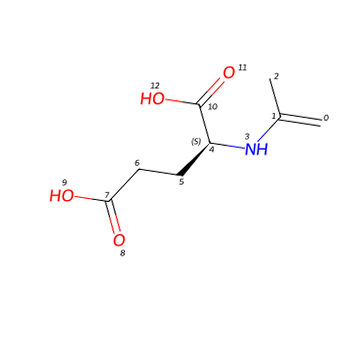 C=C(C)N[C@@H](CCC(=O)O)C(=O)O